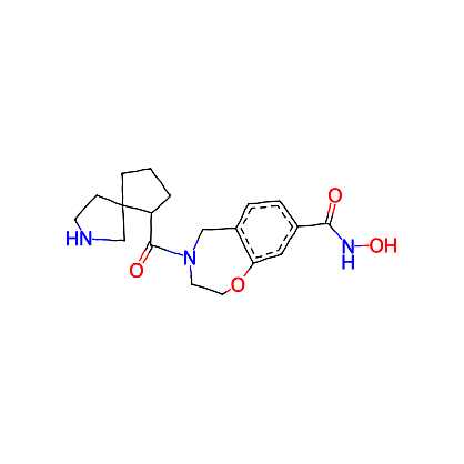 O=C(NO)c1ccc2c(c1)OCCN(C(=O)C1CCCC13CCNC3)C2